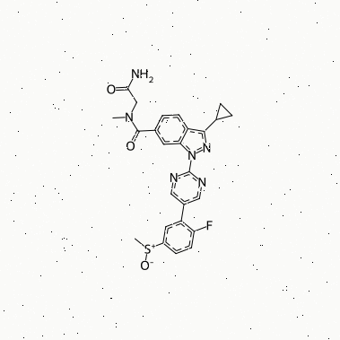 CN(CC(N)=O)C(=O)c1ccc2c(C3CC3)nn(-c3ncc(-c4cc([S+](C)[O-])ccc4F)cn3)c2c1